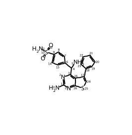 Nc1nc(C(N)c2ccc(S(N)(=O)=O)cc2)c2c(-c3ccccc3)csc2n1